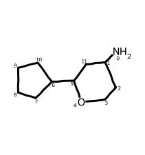 NC1CCOC(C2CCCC2)C1